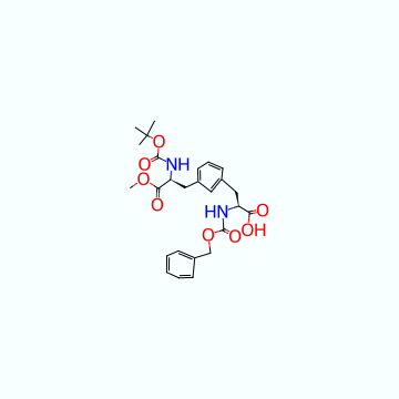 COC(=O)[C@H](Cc1cccc(C[C@H](NC(=O)OCc2ccccc2)C(=O)O)c1)NC(=O)OC(C)(C)C